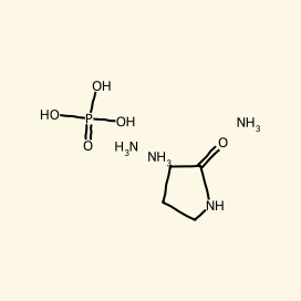 N.N.N.O=C1CCCN1.O=P(O)(O)O